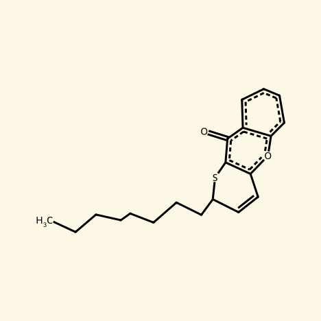 CCCCCCCCC1C=Cc2oc3ccccc3c(=O)c2S1